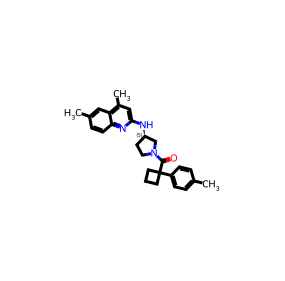 Cc1ccc(C2(C(=O)N3CC[C@H](Nc4cc(C)c5cc(C)ccc5n4)C3)CCC2)cc1